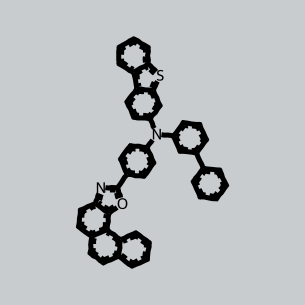 c1ccc(-c2cccc(N(c3ccc(-c4nc5ccc6ccc7ccccc7c6c5o4)cc3)c3ccc4c(c3)sc3ccccc34)c2)cc1